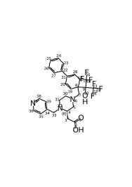 O=C(O)C[C@@H]1CN(CC2(C(O)(C(F)(F)F)C(F)(F)F)C=CC(c3ccccc3)=CC2)CCN1Cc1ccncc1